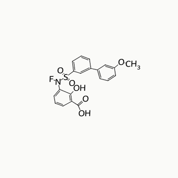 COc1cccc(-c2cccc(S(=O)(=O)N(F)c3cccc(C(=O)O)c3O)c2)c1